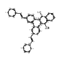 N#Cc1c2ccccc2c(C#N)c2c3ccc(/C=C/c4ccccc4)cc3c3cc(/C=C/c4ccccc4)ccc3c12